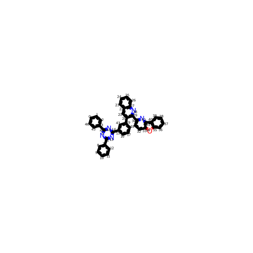 c1ccc(-c2nc(-c3ccccc3)nc(-c3cccc(-c4cc5ccccc5nc4-c4ccc5oc6ccccc6c5n4)c3)n2)cc1